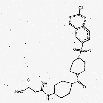 COC(=O)CC(=N)NC1CCC(C(=O)N2CCN(S(=O)(=O)c3ccc4cc(Cl)ccc4c3)CC2)CC1